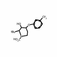 CC(C)(C)C1C(O)C(Oc2cccc(C(F)(F)F)c2)CCN1C(=O)O